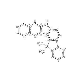 CC1(C)c2cccnc2-c2ccc3oc4nc5ccccc5cc4c3c21